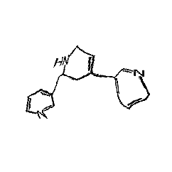 C1=C(c2cccnc2)CC(c2cccnc2)NC1